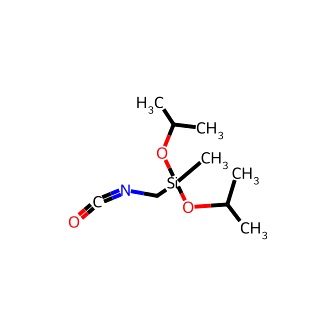 CC(C)O[Si](C)(CN=C=O)OC(C)C